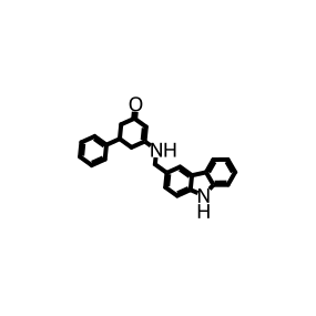 O=C1C=C(NCc2ccc3[nH]c4ccccc4c3c2)CC(c2ccccc2)C1